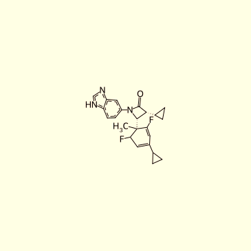 CC1([C@H]2[C@@H](C3CC3)C(=O)N2c2ccc3[nH]cnc3c2)C(F)=CC(C2CC2)=CC1F